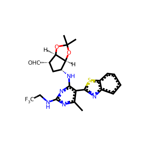 Cc1nc(NCC(F)(F)F)nc(N[C@@H]2C[C@H](C=O)[C@H]3OC(C)(C)O[C@H]32)c1-c1nc2ccccc2s1